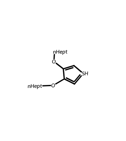 CCCCCCCOC1=C=[SH]C=C1OCCCCCCC